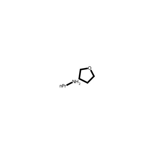 C1CCOC1.CCCN